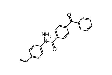 C=Cc1ccc(N(N)C(=O)c2ccc(C(=O)c3ccccc3)cc2)cc1